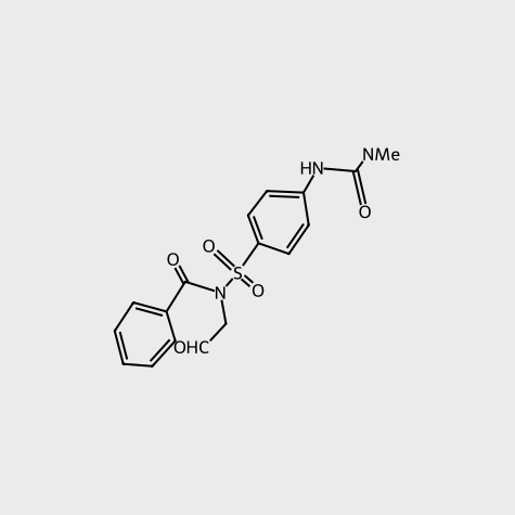 CNC(=O)Nc1ccc(S(=O)(=O)N(CC=O)C(=O)c2ccccc2)cc1